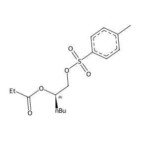 CCCC[C@H](COS(=O)(=O)c1ccc(C)cc1)OC(=O)CC